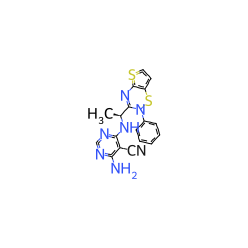 C[C@H](Nc1ncnc(N)c1C#N)C1=Nc2sccc2SN1c1ccccc1